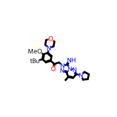 COc1c(N2CCOCC2)cc(C(=O)Cn2nc3c(C)cc(N4CCCC4)nn3c2=N)cc1C(C)(C)C